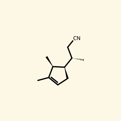 CC1=CC[C@H]([C@@H](C)CC#N)[C@@H]1C